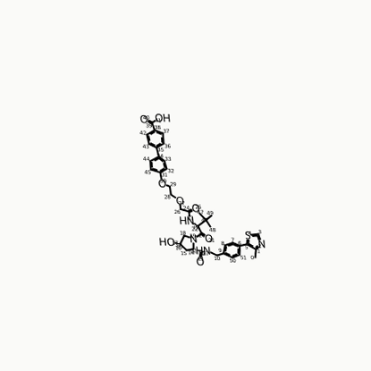 Cc1ncsc1-c1ccc(CNC(=O)[C@@H]2C[C@@H](O)CN2C(=O)[C@@H](NC(=O)COCCOc2ccc(-c3ccc(C(=O)O)cc3)cc2)C(C)(C)C)cc1